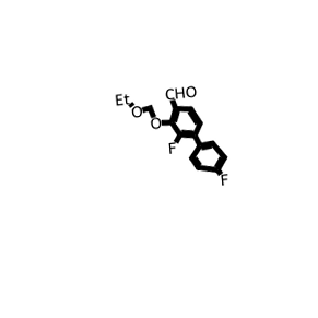 CCOCOc1c(C=O)ccc(-c2ccc(F)cc2)c1F